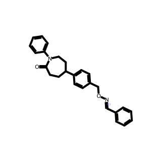 O=C1CCC(c2ccc(CO/N=C/c3ccccc3)cc2)CCN1c1ccccc1